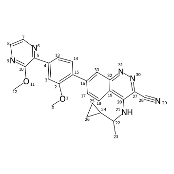 COc1cc(-c2nccnc2OC)ccc1-c1ccc2c(NC(C)C3CC3)c(C#N)nnc2c1